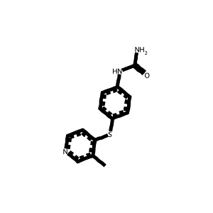 Cc1cnccc1Sc1ccc(NC(N)=O)cc1